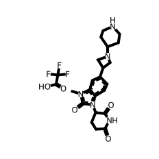 Cn1c(=O)n(C2CCC(=O)NC2=O)c2ccc(C3CN(C4CCNCC4)C3)cc21.O=C(O)C(F)(F)F